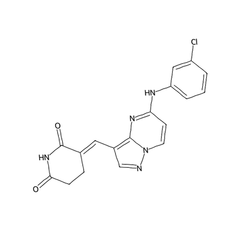 O=C1CC/C(=C\c2cnn3ccc(Nc4cccc(Cl)c4)nc23)C(=O)N1